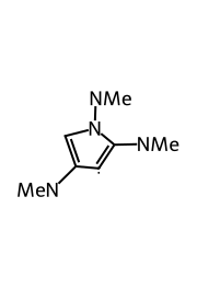 CNc1[c]c(NC)n(NC)c1